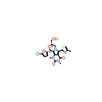 Cc1csc(-c2c3c(=O)n(C)c(=O)n(C)c3c3n2C[C@H](CO)O[C@H]3c2ccc(Cl)o2)n1